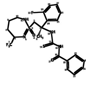 C[C@@](CS1(=O)=NC(C(F)(F)F)CCCN1)(NC(=S)NC(=O)c1ccccc1)c1ccccc1F